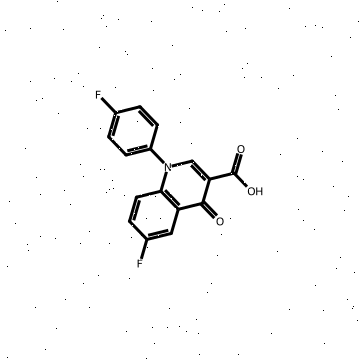 O=C(O)c1cn(-c2ccc(F)cc2)c2ccc(F)cc2c1=O